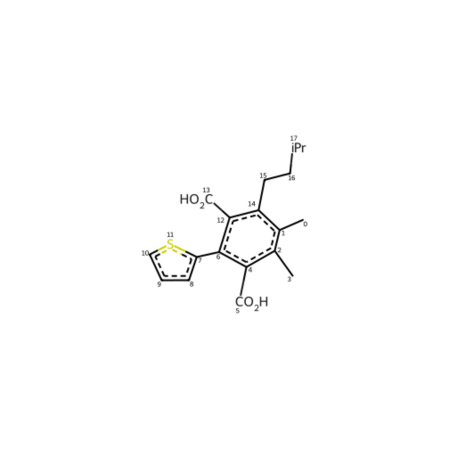 Cc1c(C)c(C(=O)O)c(-c2cccs2)c(C(=O)O)c1CCC(C)C